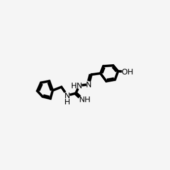 N=C(NCc1ccccc1)N/N=C/c1ccc(O)cc1